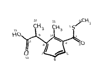 CSC(=O)c1cccc(C(C)C(=O)O)c1C